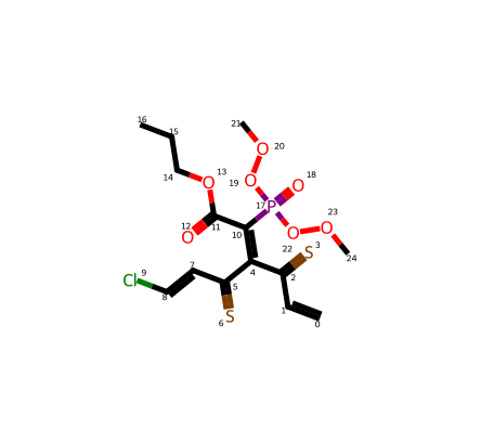 C=CC(=S)C(C(=S)C=CCl)=C(C(=O)OCCC)P(=O)(OOC)OOC